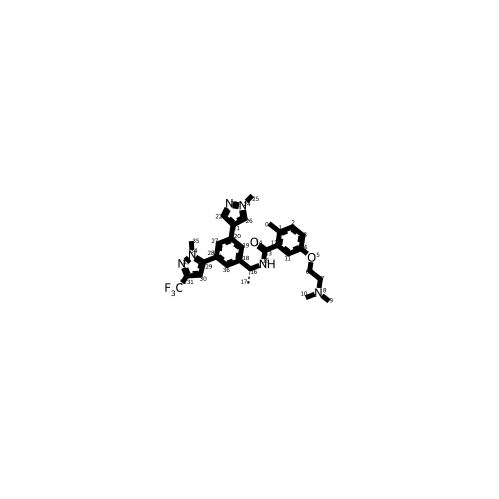 Cc1ccc(OCCN(C)C)cc1C(=O)N[C@H](C)c1cc(-c2cnn(C)c2)cc(-c2cc(C(F)(F)F)nn2C)c1